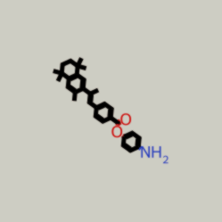 CC(=Cc1ccc(C(=O)Oc2ccc(N)cc2)cc1)c1cc2c(cc1C)C(C)(C)CCC2(C)C